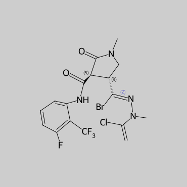 C=C(Cl)N(C)/N=C(\Br)[C@H]1CN(C)C(=O)[C@@H]1C(=O)Nc1cccc(F)c1C(F)(F)F